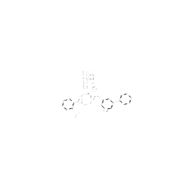 COc1ccccc1N1CCN(Cc2cncc(-c3ccccc3)c2)CC1.Cl.Cl.Cl.O.O